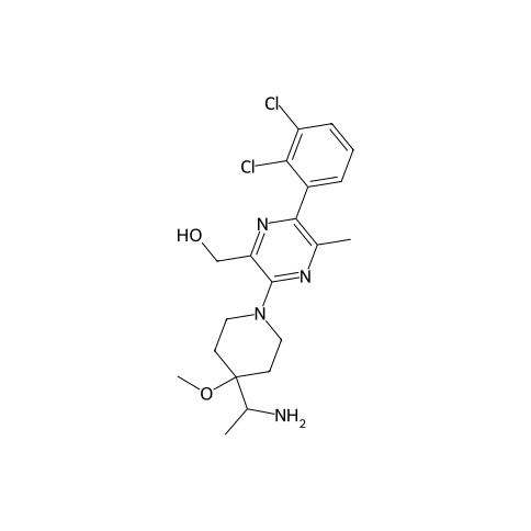 COC1(C(C)N)CCN(c2nc(C)c(-c3cccc(Cl)c3Cl)nc2CO)CC1